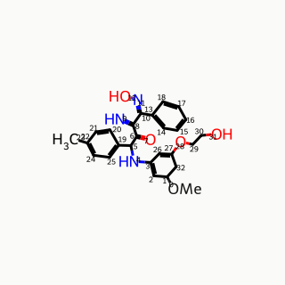 COC1C=C(NC(C(=O)C(=N)/C(=N\O)c2ccccc2)c2ccc(C)cc2)C=C(OCCO)C1